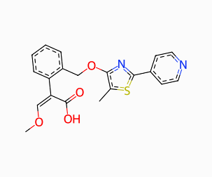 COC=C(C(=O)O)c1ccccc1COc1nc(-c2ccncc2)sc1C